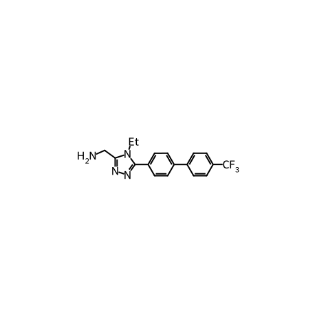 CCn1c(CN)nnc1-c1ccc(-c2ccc(C(F)(F)F)cc2)cc1